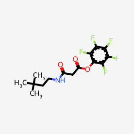 CC(C)(C)CCNC(=O)CC(=O)Oc1c(F)c(F)c(F)c(F)c1F